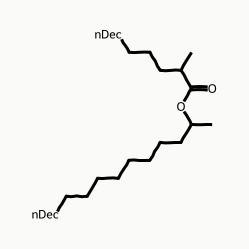 CCCCCCCCCCCCCCCCCCC(C)OC(=O)C(C)CCCCCCCCCCCCC